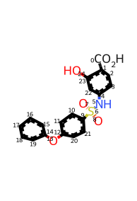 O=C(O)c1ccc(NS(=O)(=O)c2ccc(Oc3ccccc3)cc2)cc1O